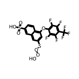 O=S(=O)(O)c1ccc2c(Oc3c(F)c(F)c(C(F)(F)F)c(F)c3F)cc(SOOO)cc2c1